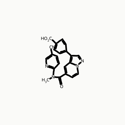 CN(C(=O)c1ccn2ncc(-c3ccc(C(=O)O)cc3)c2c1)c1ccc(C#N)cn1